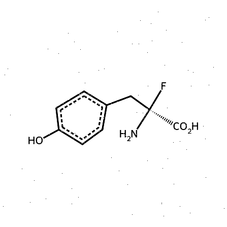 N[C@](F)(Cc1ccc(O)cc1)C(=O)O